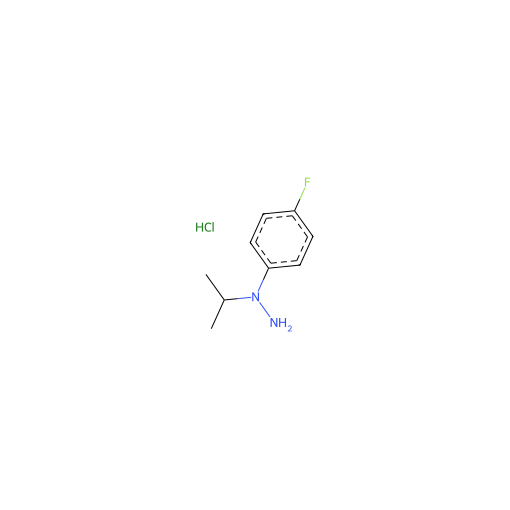 CC(C)N(N)c1ccc(F)cc1.Cl